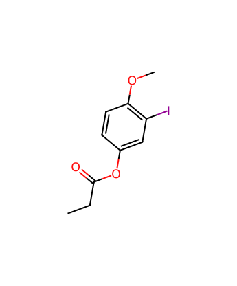 CCC(=O)Oc1ccc(OC)c(I)c1